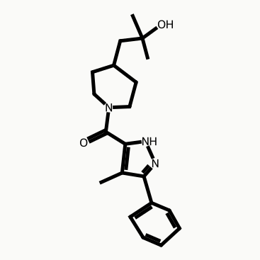 Cc1c(-c2ccccc2)n[nH]c1C(=O)N1CCC(CC(C)(C)O)CC1